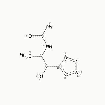 CCCC(=O)NC(C(=O)O)C(O)c1c[nH]cn1